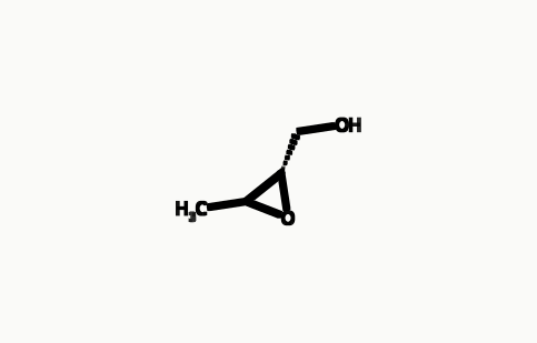 CC1O[C@H]1CO